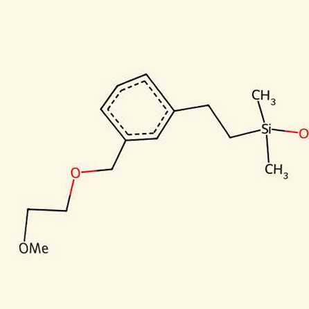 COCCOCc1cccc(CC[Si](C)(C)O)c1